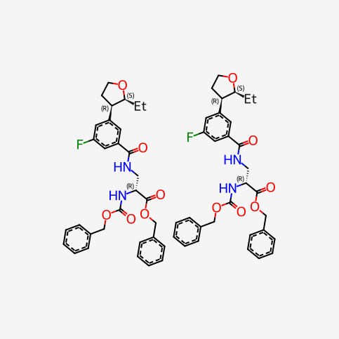 CC[C@@H]1OCC[C@@H]1c1cc(F)cc(C(=O)NC[C@@H](NC(=O)OCc2ccccc2)C(=O)OCc2ccccc2)c1.CC[C@@H]1OCC[C@@H]1c1cc(F)cc(C(=O)NC[C@@H](NC(=O)OCc2ccccc2)C(=O)OCc2ccccc2)c1